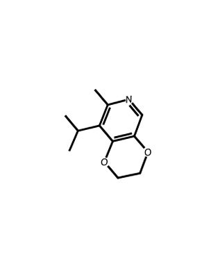 Cc1ncc2c(c1C(C)C)OCCO2